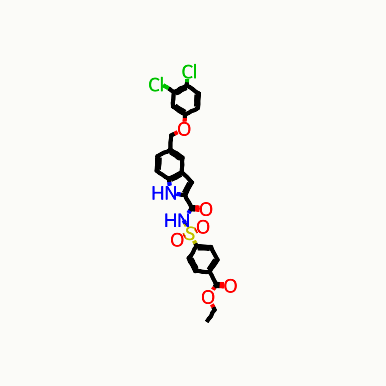 CCOC(=O)c1ccc(S(=O)(=O)NC(=O)c2cc3cc(COc4ccc(Cl)c(Cl)c4)ccc3[nH]2)cc1